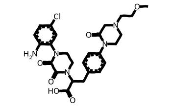 COCCN1CCN(c2ccc(CC(C(=O)O)N3CCN(c4cc(Cl)ccc4N)C(=O)C3=O)cc2)C(=O)C1